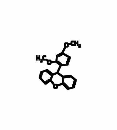 COc1ccc(C2c3ccccc3Oc3ccccc32)c(OC)c1